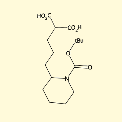 CC(C)(C)OC(=O)N1CCCCC1CCCC(C(=O)O)C(=O)O